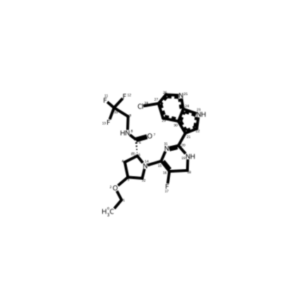 CCOC1C[C@H](C(=O)NCC(F)(F)F)N(C2=C(F)CNC(c3c[nH]c4ncc(Cl)cc34)=N2)C1